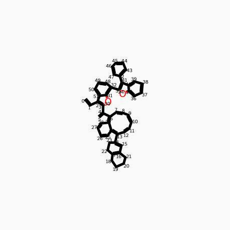 C=Cc1c(C(=C)c2ccccccc(C3=CC4=C(CCCC4)CC3)c3ccccc23)oc2c(-c3oc4ccccc4c3-c3ccccc3)cccc12